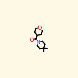 CC1(C)CCN(C(=O)C2CCOCC2)CC1